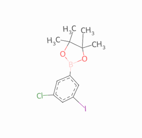 CC1(C)OB(c2cc(Cl)cc(I)c2)OC1(C)C